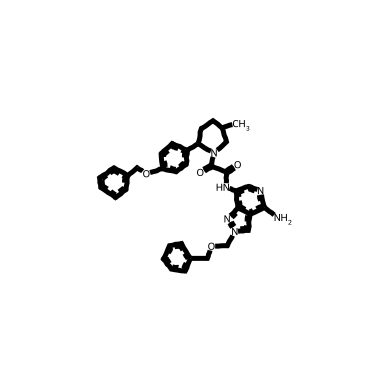 CC1CCC(c2ccc(OCc3ccccc3)cc2)N(C(=O)C(=O)Nc2cnc(N)c3cn(COCc4ccccc4)nc23)C1